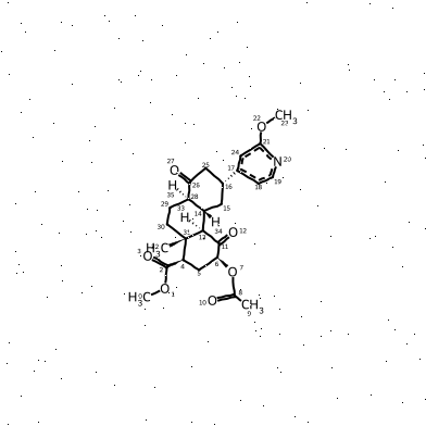 COC(=O)[C@@H]1C[C@H](OC(C)=O)C(=O)[C@@H]2[C@H]3C[C@@H](c4ccnc(OC)c4)CC(=O)[C@@H]3CC[C@]21C